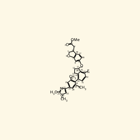 COC(=O)CC1COc2cc(O[C@@H]3CCc4c(-c5c(C)cc(-c6cn(C)c(C)n6)cc5C)ccc(F)c43)ccc21